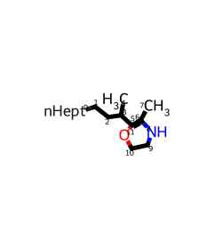 CCCCCCCCCC(C)C1=C(C)NCCO1